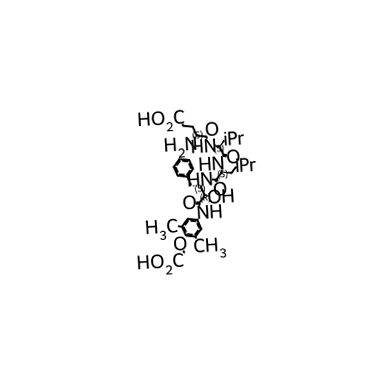 Cc1cc(NC(=O)[C@H](O)[C@H](Cc2ccccc2)NC(=O)[C@H](CC(C)C)NC(=O)[C@@H](NC(=O)[C@@H](N)CCC(=O)O)C(C)C)cc(C)c1OCC(=O)O